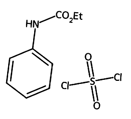 CCOC(=O)Nc1ccccc1.O=S(=O)(Cl)Cl